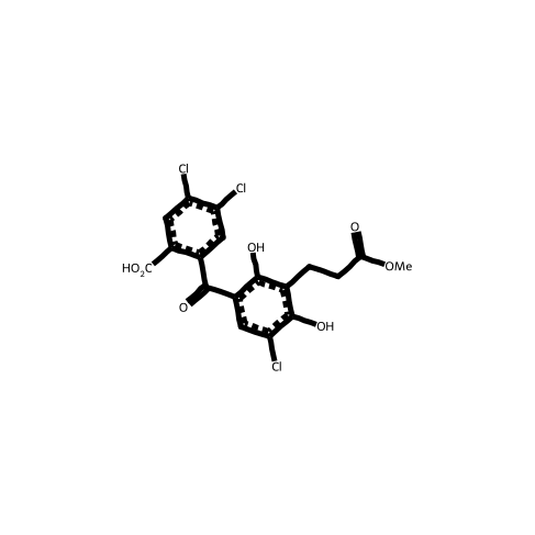 COC(=O)CCc1c(O)c(Cl)cc(C(=O)c2cc(Cl)c(Cl)cc2C(=O)O)c1O